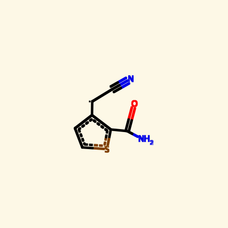 N#C[CH]c1ccsc1C(N)=O